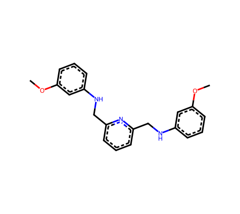 COc1cccc(NCc2cccc(CNc3cccc(OC)c3)n2)c1